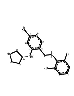 Cc1cccc(F)c1NCc1cnc(Cl)cc1N[C@@H]1CCNC1